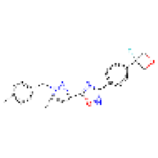 Cc1ccc(Cn2nc(-c3nc(-c4ccc(C5(F)COC5)cc4)no3)cc2C)cc1